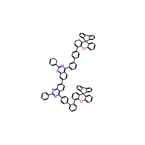 C1=CCCC(c2nc(-c3cccc(-c4ccc(C5=CCCC6=C5Oc5ccccc5C65c6ccccc6-c6ccccc65)cc4)c3)c3ccc(-c4ccc5c(-c6ccc(-c7ccccc7-c7cccc8c7Oc7ccccc7C87c8ccccc8-c8ccccc87)cc6)nc(-c6ccccc6)nc5c4)cc3n2)=C1